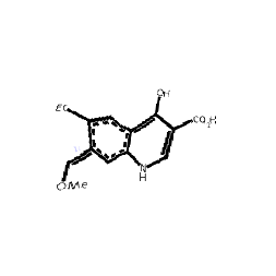 CCc1cc2c(c/c1=C\OC)NC=C(C(=O)O)C=2O